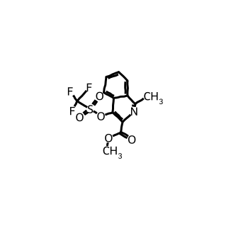 COC(=O)c1nc(C)c2ccccc2c1OS(=O)(=O)C(F)(F)F